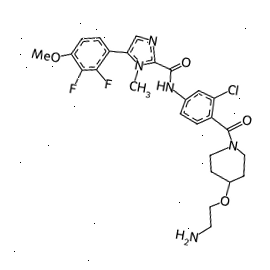 COc1ccc(-c2cnc(C(=O)Nc3ccc(C(=O)N4CCC(OCCN)CC4)c(Cl)c3)n2C)c(F)c1F